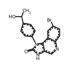 CC(O)c1ccc(-n2c(=O)[nH]c3cnc4ccc(Br)cc4c32)cc1